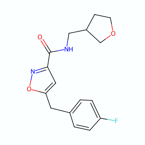 O=C(NCC1CCOC1)c1cc(Cc2ccc(F)cc2)on1